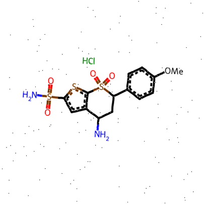 COc1ccc(C2CC(N)c3cc(S(N)(=O)=O)sc3S2(=O)=O)cc1.Cl